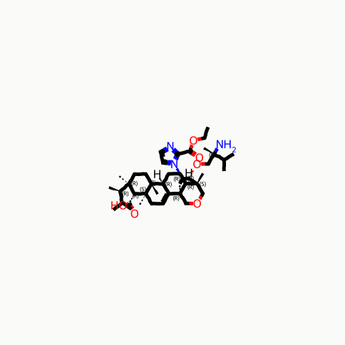 CCOC(=O)c1nccn1[C@@H]1C[C@@]23COC[C@](C)([C@@H]2CC[C@H]2C3=CC[C@@]3(C)[C@H](C(=O)O)[C@@](C)([C@H](C)C(C)C)CC[C@]23C)[C@H]1OC[C@](C)(N)C(C)C